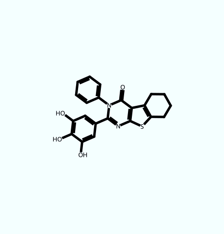 O=c1c2c3c(sc2nc(-c2cc(O)c(O)c(O)c2)n1-c1ccccc1)CCCC3